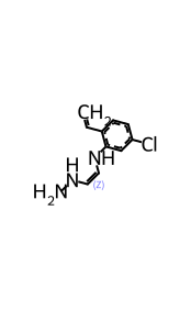 C=Cc1ccc(Cl)cc1N/C=C\NN